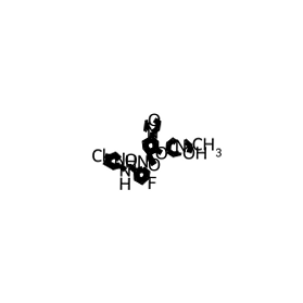 CC(O)CN1CCC(Oc2cc(N3CCOCC3)ccc2C(=O)Nc2cc(F)ccc2C(=O)Nc2ccc(Cl)cn2)CC1